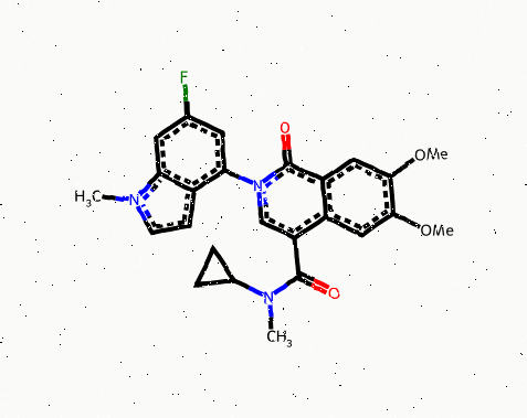 COc1cc2c(C(=O)N(C)C3CC3)cn(-c3cc(F)cc4c3ccn4C)c(=O)c2cc1OC